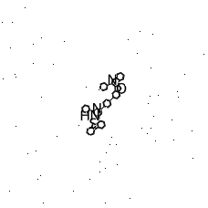 C1=C(c2cccc3c2sc2ccccc23)NC(c2ccccc2)N=C1c1ccc(-c2ccc3oc4c5ccccc5nc(-c5ccccc5)c4c3c2)cc1